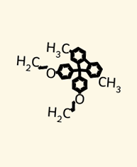 C=CCOc1ccc(C2(c3ccc(OCC=C)cc3)c3cc(C)ccc3-c3ccc(C)cc32)cc1